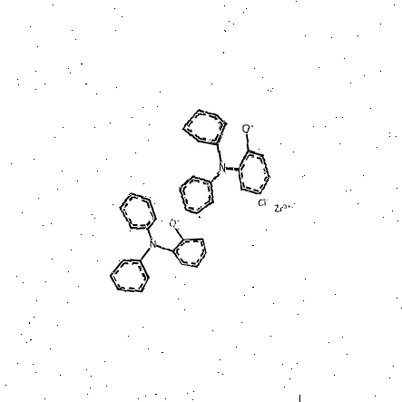 [Cl-].[O-]c1ccccc1N(c1ccccc1)c1ccccc1.[O-]c1ccccc1N(c1ccccc1)c1ccccc1.[Zr+3]